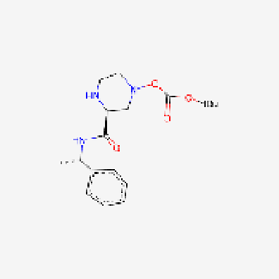 C[C@H](NC(=O)[C@@H]1CN(OC(=O)OC(C)(C)C)CCN1)c1ccccc1